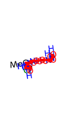 COc1cc(N2CCC(NC(=O)CCOCCOCCOCCOCCNc3cccc4c3CN(C3CCC(=O)NC3=O)C4=O)CC2)ccc1Nc1ncc(Cl)c(Nc2ccccc2P(C)(C)=O)n1